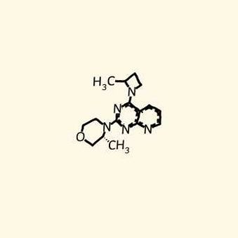 CC1CCN1c1nc(N2CCOC[C@H]2C)nc2ncccc12